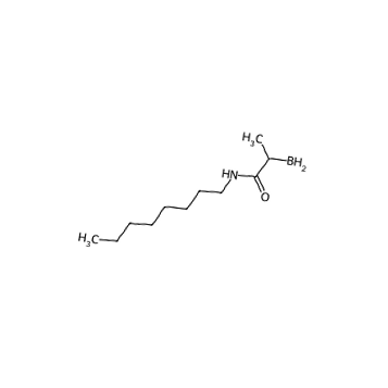 BC(C)C(=O)NCCCCCCCC